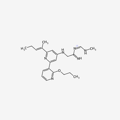 CCC=C(C)c1cc(NCC(=N)/N=C\NC)cc(-c2cccnc2OCCC)n1